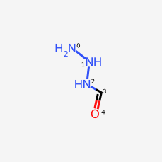 NNNC=O